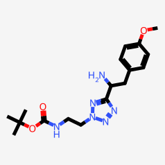 COc1ccc(CC(N)c2nnn(CCNC(=O)OC(C)(C)C)n2)cc1